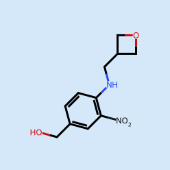 O=[N+]([O-])c1cc(CO)ccc1NCC1COC1